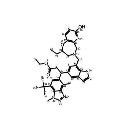 CCOC(=O)CC(c1cc(CN2Cc3nc(O)ccc3O[C@H](CC)C2)c2sccc2c1)c1cc(C(F)(F)F)c2c(nnn2C)c1C